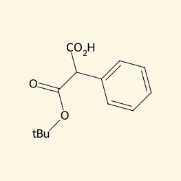 CC(C)(C)OC(=O)C(C(=O)O)c1ccccc1